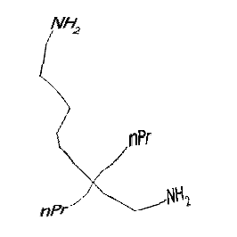 CCCC(CN)(CCC)CCCN